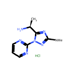 CNc1nc([C@H](C)N)n(-c2ncccn2)n1.Cl